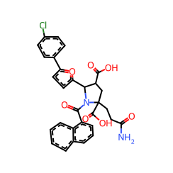 NC(=O)CCC1(C(=O)O)CC(C(=O)O)C(c2ccc(-c3ccc(Cl)cc3)o2)N1C(=O)c1cccc2ccccc12